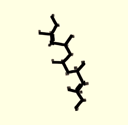 CCC(C)=NC(C)CC(C)CC(C)/N=C(\C)CC